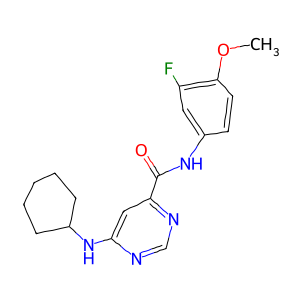 COc1ccc(NC(=O)c2cc(NC3CCCCC3)ncn2)cc1F